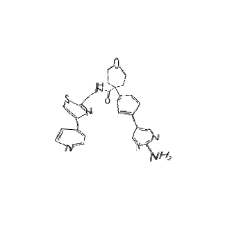 Nc1ncc(-c2ccc(C3(C(=O)Nc4nc(-c5ccncc5)cs4)CCOCC3)cc2)cn1